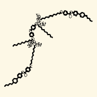 CCCCCCCCCCC(Oc1ccc(Oc2ccc(OC(CCCCCCCCCC)[Si](C)(O[Si](C)(C)C)O[Si](C)(CCCCCCCCCCCOc3ccc(C(=O)Oc4ccc(C5CCC(CCCCC)CC5)cc4)cc3)O[Si](C)(C)C)cc2)cc1)[Si](C)(O[Si](C)(C)C)O[Si](C)(CCCCCCCCCCCOc1ccc(C(=O)Oc2ccc(C3CCC(CCCCC)CC3)cc2)cc1)O[Si](C)(C)C